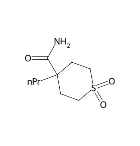 CCCC1(C(N)=O)CCS(=O)(=O)CC1